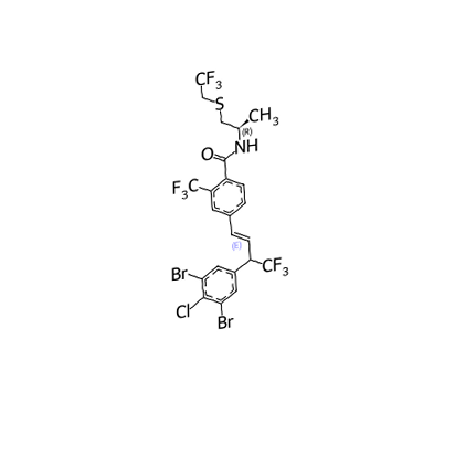 C[C@H](CSCC(F)(F)F)NC(=O)c1ccc(/C=C/C(c2cc(Br)c(Cl)c(Br)c2)C(F)(F)F)cc1C(F)(F)F